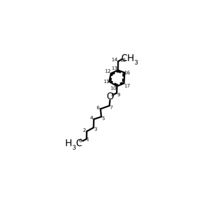 CCCCCCCCOCc1ccc(CC)cc1